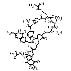 COC1=C(C)C(=O)C2=C(C1=O)[C@H](COC(N)=O)[C@]1(OC)[C@@H](C)N(C(=O)CCCN3C(=O)CC(SC[C@@H](NC(=O)[C@@H](CC(=O)O)NC(=O)[C@@H](CCCNC(=N)N)NC(=O)CC[C@@H](NC(=O)c4ccc(NCc5cnc6nc(N)[nH]c(=O)c6n5)cc4)C(=O)O)C(=O)O)C3=O)CN21